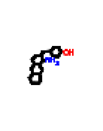 NC1C(=Cc2ccc(O)cc2)C=Cc2cc3ccccc3cc21